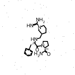 N=C(N)N1CCCC(CN[C@@H](Cc2ccccc2)C(=O)N2CCC[C@H]2C(N)=O)C1